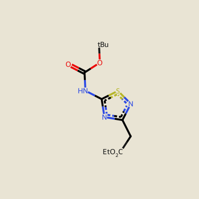 CCOC(=O)Cc1nsc(NC(=O)OC(C)(C)C)n1